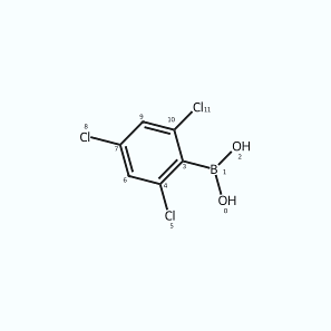 OB(O)c1c(Cl)cc(Cl)cc1Cl